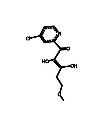 COCCC(O)=C(O)C(=O)c1cc(Cl)ccn1